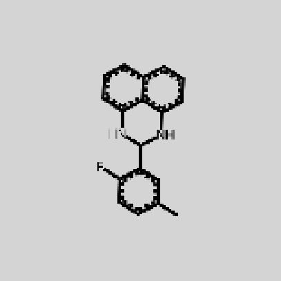 Cc1ccc(F)c(C2Nc3cccc4cccc(c34)N2)c1